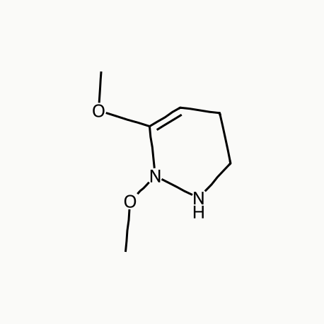 COC1=CCCNN1OC